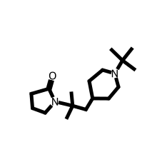 CC(C)(C)N1CCC(CC(C)(C)N2CCCC2=O)CC1